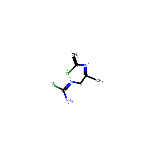 C=C(Cl)/N=C(/C)C/N=C(\N)Cl